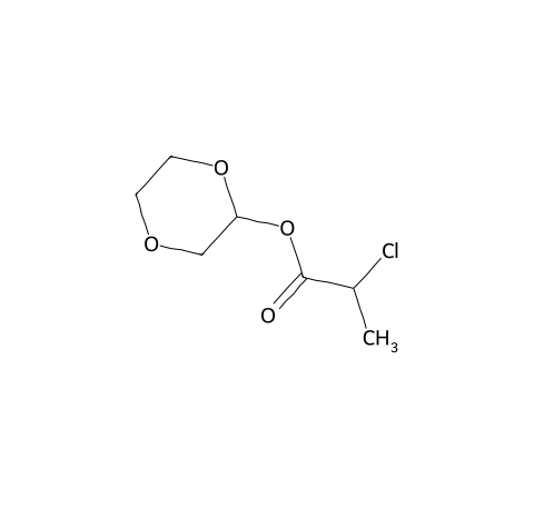 CC(Cl)C(=O)OC1COCCO1